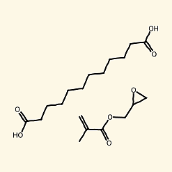 C=C(C)C(=O)OCC1CO1.O=C(O)CCCCCCCCCCC(=O)O